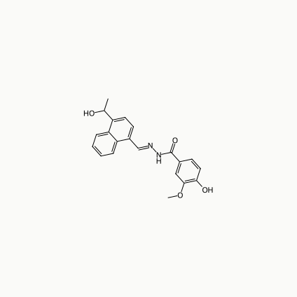 COc1cc(C(=O)N/N=C/c2ccc(C(C)O)c3ccccc23)ccc1O